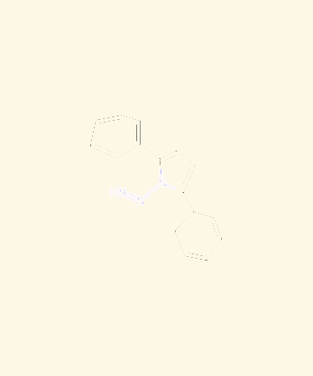 N=Nn1c(-c2ccccc2)ccc1-c1ccccc1